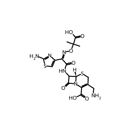 CC(C)(O/N=C(\C(=O)NC1C(=O)N2C(C(=O)O)=C(CN)CS[C@@H]12)c1csc(N)n1)C(=O)O